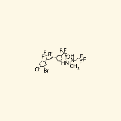 C[C@H](NCCC(F)(F)F)NC(=O)c1ccc(/C(F)=C/C(c2ccc(Cl)c(Br)c2)C(F)(F)F)cc1C(F)(F)F